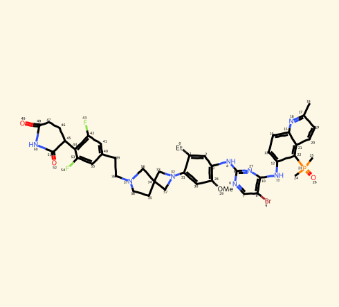 CCc1cc(Nc2ncc(Br)c(Nc3ccc4nc(C)ccc4c3P(C)(C)=O)n2)c(OC)cc1N1CC2(CCN(CCc3cc(F)c(C4CCC(=O)NC4=O)c(F)c3)C2)C1